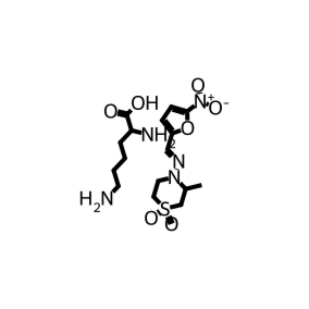 CC1CS(=O)(=O)CCN1N=Cc1ccc([N+](=O)[O-])o1.NCCCCC(N)C(=O)O